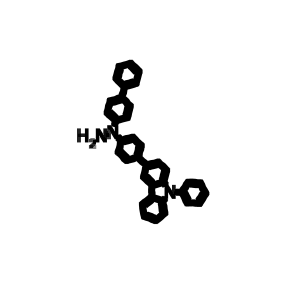 NN(c1ccc(-c2ccccc2)cc1)c1ccc(-c2ccc3c(c2)c2ccccc2n3-c2ccccc2)cc1